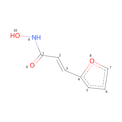 O=C(/C=C/c1ccco1)NO